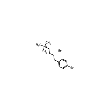 C[N+](C)(C)CCCCc1ccc(Br)cc1.[Br-]